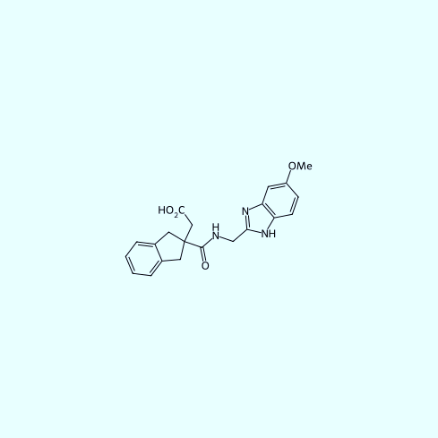 COc1ccc2[nH]c(CNC(=O)C3(CC(=O)O)Cc4ccccc4C3)nc2c1